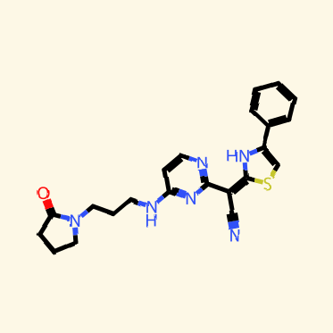 N#CC(=C1NC(c2ccccc2)=CS1)c1nccc(NCCCN2CCCC2=O)n1